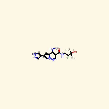 CC(C)Nc1c(C(=O)NC[C@@H](F)C(C)(C)O)cnn2cc(-c3cn[nH]c3)cc12